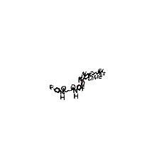 CCN(CC)CCCOc1cc2ncnc(Oc3ccc(NC(=O)CCCC(=O)Nc4ccc(F)cc4)cc3F)c2cc1OC